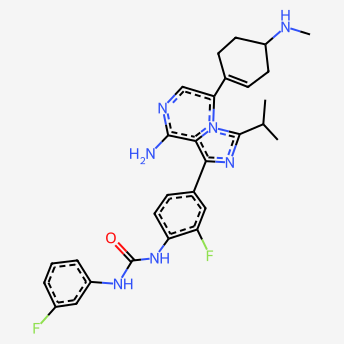 CNC1CC=C(c2cnc(N)c3c(-c4ccc(NC(=O)Nc5cccc(F)c5)c(F)c4)nc(C(C)C)n23)CC1